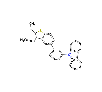 C=CC1c2cc(-c3cccc(-n4c5ccccc5c5ccccc54)c3)ccc2SC1CC